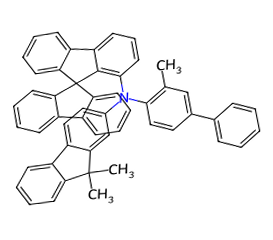 Cc1cc(-c2ccccc2)ccc1N(c1ccc2c(c1)C(C)(C)c1ccccc1-2)c1cccc2c1C1(c3ccccc3-c3ccccc31)c1ccccc1-2